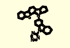 c1ccc2c(c1)sc1c2ccc2c3ccccc3n(-c3ccc4c(c3)c3ccccc3n4-c3ncncn3)c21